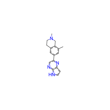 Cc1cc(-c2cnc3[nH]ccc3n2)cc2c1CN(C)CC2